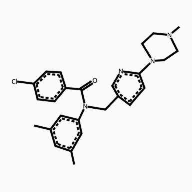 Cc1cc(C)cc(N(Cc2ccc(N3CCN(C)CC3)nc2)C(=O)c2ccc(Cl)cc2)c1